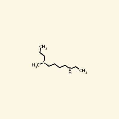 CCBCCCCN(C)CCC